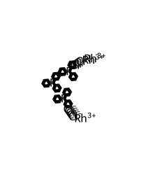 [Cl-].[Cl-].[Cl-].[Cl-].[Cl-].[Cl-].[Cl-].[Cl-].[Cl-].[Rh+3].[Rh+3].[Rh+3].c1ccc(P(c2ccccc2)c2ccccc2)cc1.c1ccc(P(c2ccccc2)c2ccccc2)cc1.c1ccc(P(c2ccccc2)c2ccccc2)cc1